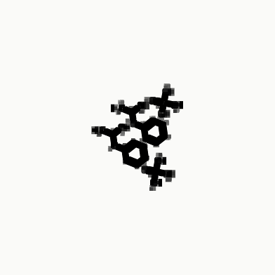 CC(O)Oc1ccccc1.CC(O)Oc1ccccc1.O=P(O)(O)O.O=P(O)(O)O